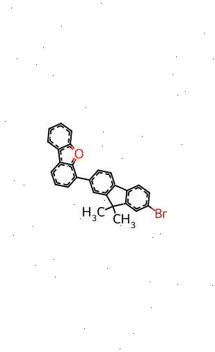 CC1(C)c2cc(Br)ccc2-c2ccc(-c3cccc4c3oc3ccccc34)cc21